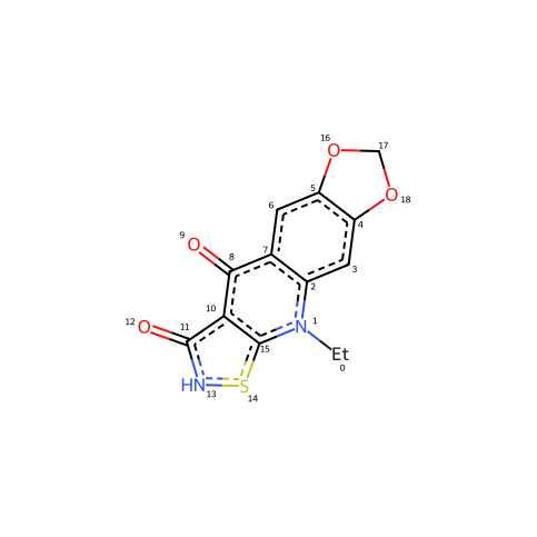 CCn1c2cc3c(cc2c(=O)c2c(=O)[nH]sc21)OCO3